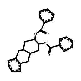 O=C(OC1CC2Cc3ccccc3CC2CC1OC(=O)c1ccccc1)c1ccccc1